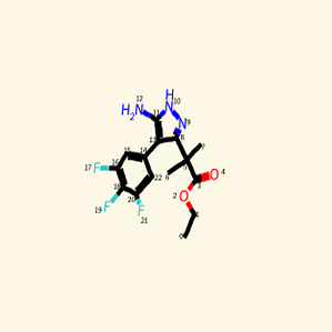 CCOC(=O)C(C)(C)c1n[nH]c(N)c1-c1cc(F)c(F)c(F)c1